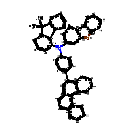 CC1(C)c2ccccc2-c2c(N(c3ccc(-c4cc5ccc6ccccc6c5c5ccccc45)cc3)c3ccc4c(c3)sc3ccccc34)cccc21